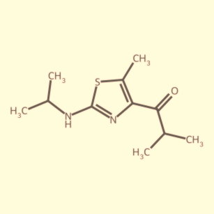 Cc1sc(NC(C)C)nc1C(=O)C(C)C